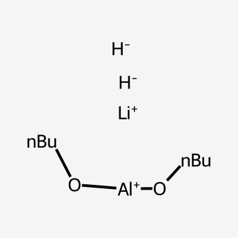 CCCC[O][Al+][O]CCCC.[H-].[H-].[Li+]